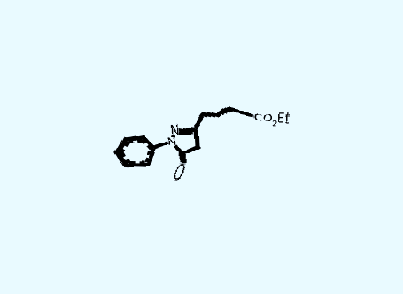 CCOC(=O)CCCC1=NN(c2ccccc2)C(=O)C1